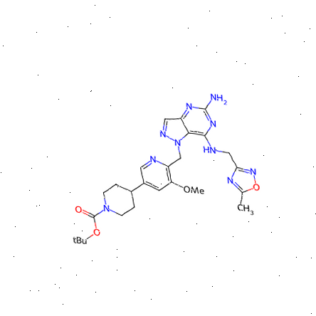 COc1cc(C2CCN(C(=O)OC(C)(C)C)CC2)cnc1Cn1ncc2nc(N)nc(NCc3noc(C)n3)c21